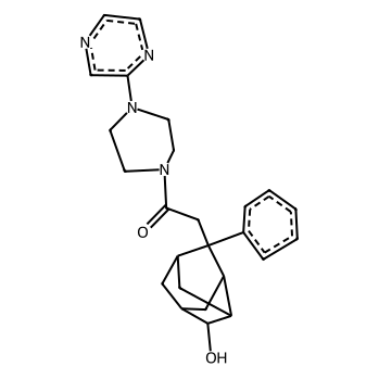 O=C(CC1(c2ccccc2)C2CC3CC1C(C2)C3O)N1CCN(c2cnccn2)CC1